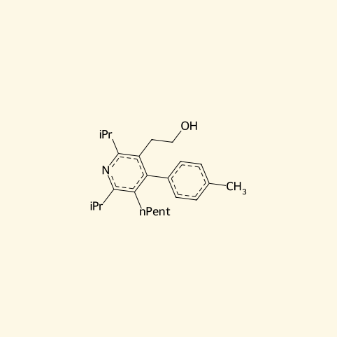 CCCCCc1c(C(C)C)nc(C(C)C)c(CCO)c1-c1ccc(C)cc1